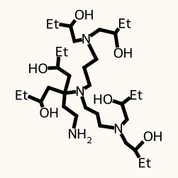 CCC(O)CN(CCCN(CCCN(CC(O)CC)CC(O)CC)C(CCN)(CC(O)CC)CC(O)CC)CC(O)CC